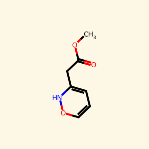 COC(=O)CC1=CC=CON1